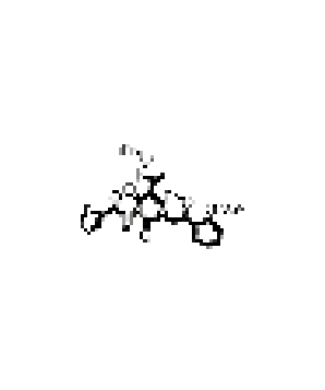 COc1ccccc1C(Cn1cc(/C(C)=N/OC(C)C)c(=O)n(N(C)C(=O)c2cscn2)c1=O)OC(C)C